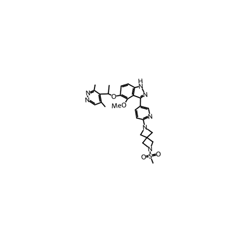 COc1c(OC(C)c2c(C)cnnc2C)ccc2[nH]nc(-c3ccc(N4CC5(C4)CN(S(C)(=O)=O)C5)nc3)c12